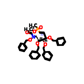 COP(C)(=O)/C=C/[C@@H](OCc1ccccc1)[C@H](OCc1ccccc1)[C@@H](CN(C=O)OCc1ccccc1)OCc1ccccc1